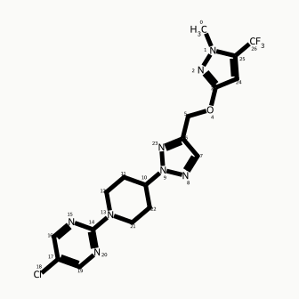 Cn1nc(OCc2cnn(C3CCN(c4ncc(Cl)cn4)CC3)n2)cc1C(F)(F)F